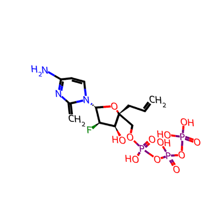 C=CC[C@]1(COP(=O)(O)OP(=O)(O)OP(=O)(O)O)O[C@@H](N2C=CC(N)=NC2=C)[C@H](F)[C@@H]1O